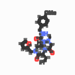 COc1ccc(CNC(=O)N2[C@H]3CN(Cc4ccco4)C(=O)[C@H](CC(C)C)N3C(=O)CN2C)cc1